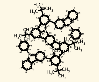 CC(C)(C)c1cc(-c2ccc3c(c2)c2ccccc2n3-c2ccccc2)c2c(c1)c1cc(C(C)(C)C)cc3c4nc5c(cc4n2c13)c1cc(C(C)(C)C)cc2c3cc(C(C)(C)C)cc(-c4ccc6c(c4)c4ccccc4n6-c4ccccc4)c3n5c12